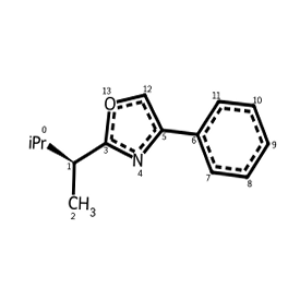 CC(C)[C@H](C)c1nc(-c2ccccc2)co1